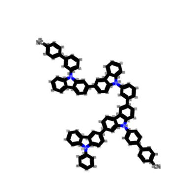 N#Cc1ccc(-c2ccc(-n3c4ccc(-c5cccc(-n6c7ccccc7c7cc(-c8ccc9c%10ccccc%10n(-c%10cccc(-c%11ccc(C#N)cc%11)c%10)c9c8)ccc76)c5)cc4c4ccc(-c5ccc6c(c5)c5ccccc5n6-c5ccccc5)cc43)cc2)cc1